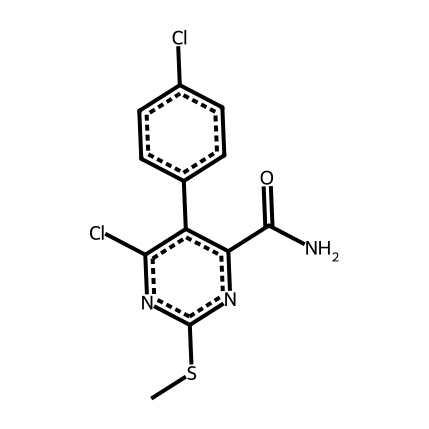 CSc1nc(Cl)c(-c2ccc(Cl)cc2)c(C(N)=O)n1